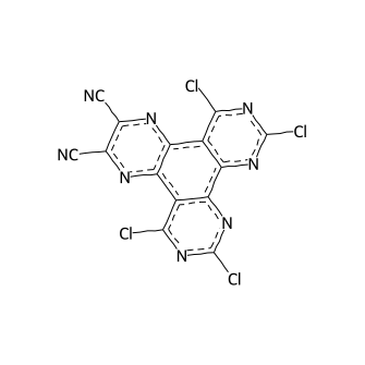 N#Cc1nc2c(nc1C#N)c1c(Cl)nc(Cl)nc1c1nc(Cl)nc(Cl)c12